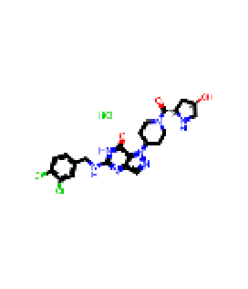 Cl.O=C([C@@H]1C[C@@H](O)CN1)N1CCC(n2ncc3nc(NCc4ccc(Cl)c(Cl)c4)[nH]c(=O)c32)CC1